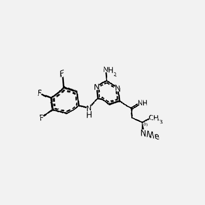 CN[C@H](C)CC(=N)c1cc(Nc2cc(F)c(F)c(F)c2)nc(N)n1